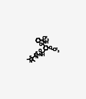 Cc1nc(C)c(-c2csc(NC(=O)Cc3cc(OCC(F)(F)F)cc(C(=O)N[C@H](c4ccccc4)C(F)(F)F)c3)n2)s1